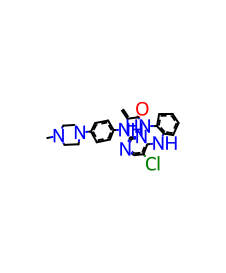 C=CC(=O)Nc1ccccc1Nc1nc(Nc2ccc(N3CCN(C)CC3)cc2)ncc1Cl